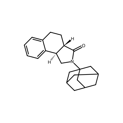 O=C1[C@H]2CCc3ccccc3[C@@H]2CN1C12CC3CC(CC(C3)C1)C2